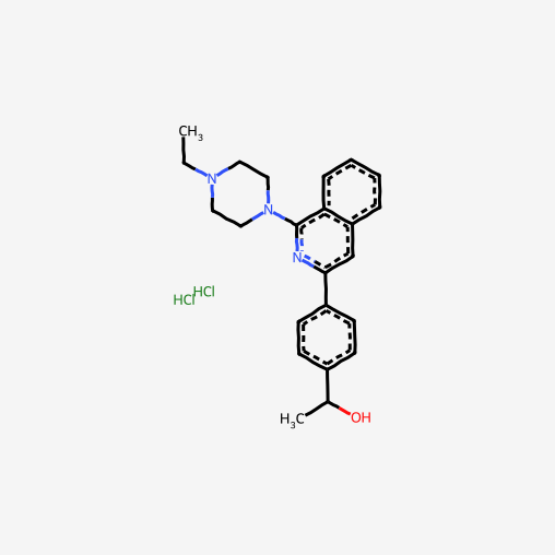 CCN1CCN(c2nc(-c3ccc(C(C)O)cc3)cc3ccccc23)CC1.Cl.Cl